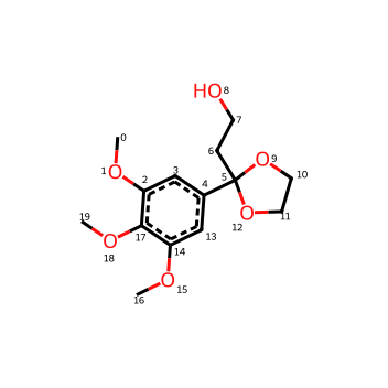 COc1cc(C2(CCO)OCCO2)cc(OC)c1OC